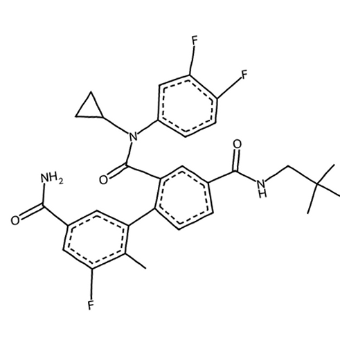 Cc1c(F)cc(C(N)=O)cc1-c1ccc(C(=O)NCC(C)(C)C)cc1C(=O)N(c1ccc(F)c(F)c1)C1CC1